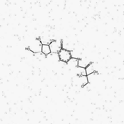 CC(C)(CCl)C(=O)ONc1ccn([C@@H]2O[C@H](CO)[C@@H](O)[C@H]2O)c(=O)n1